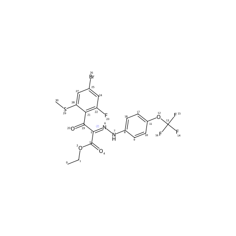 CCOC(=O)/C(=N\Nc1ccc(OC(F)(F)F)cc1)C(=O)c1c(F)cc(Br)cc1SC